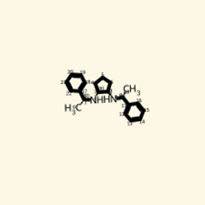 C[C@@H](N[C@@H]1CCC[C@H]1N[C@H](C)c1ccccc1)c1ccccc1